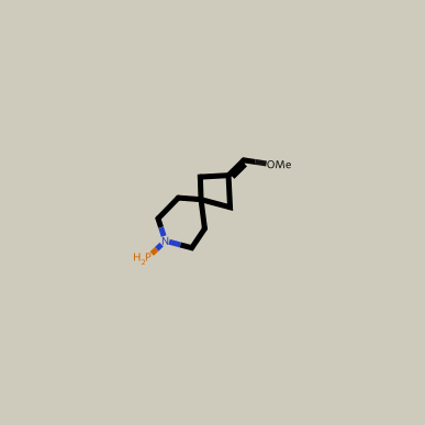 COC=C1CC2(CCN(P)CC2)C1